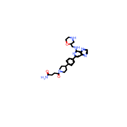 NC(=O)CCC(=O)N1CCC(c2ccc(-c3cc4nccnc4c(NCC4CNCCO4)n3)cc2)CC1